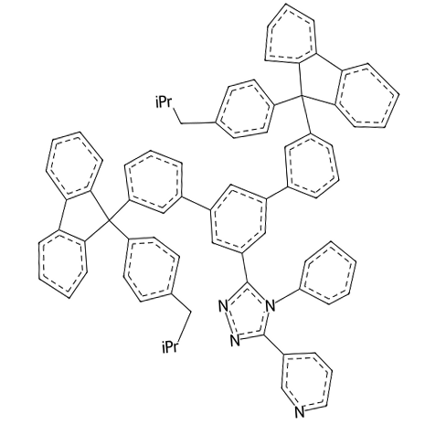 CC(C)Cc1ccc(C2(c3cccc(-c4cc(-c5cccc(C6(c7ccc(CC(C)C)cc7)c7ccccc7-c7ccccc76)c5)cc(-c5nnc(-c6cccnc6)n5-c5ccccc5)c4)c3)c3ccccc3-c3ccccc32)cc1